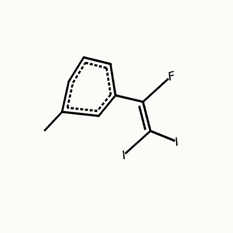 Cc1cccc(C(F)=C(I)I)c1